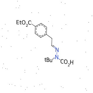 CCOC(=O)c1ccc(CC=NN(C(=O)O)C(C)(C)C)cc1